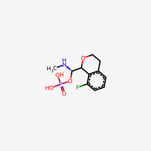 CN[C@H](OP(=O)(O)O)C1OCCc2cccc(F)c21